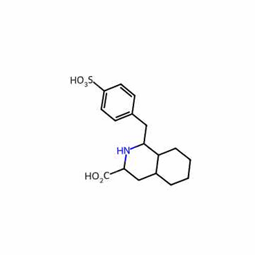 O=C(O)C1CC2CCCCC2C(Cc2ccc(S(=O)(=O)O)cc2)N1